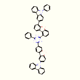 c1ccc(-c2nc(-c3ccc4c(c3)oc3ccc(-n5c6ccccc6c6ccccc65)cc34)nc(-c3cccc4oc5c(-c6ccc7c(c6)c6ccccc6n7-c6ccccc6)cccc5c34)n2)cc1